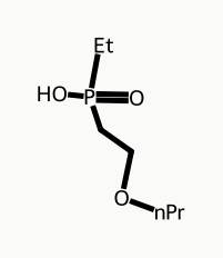 CCCOCCP(=O)(O)CC